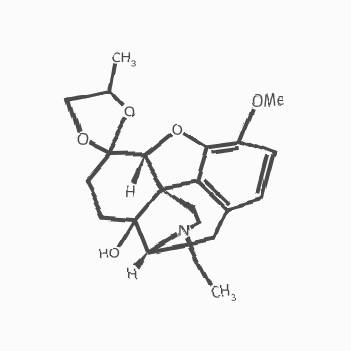 COc1ccc2c3c1O[C@H]1C4(CCC5(O)[C@@H](C2)N(C)CC[C@]315)OCC(C)O4